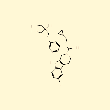 CCC(CO)(CO)COc1ccc([C@H]2c3[nH]c4ccc(Cl)cc4c3CCN2C(O)OCC2CC2)cc1